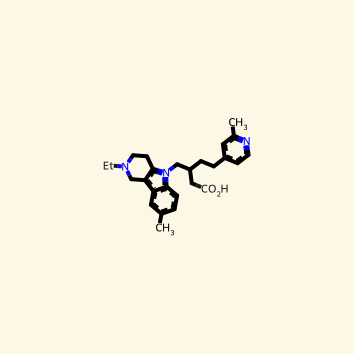 CCN1CCc2c(c3cc(C)ccc3n2CC(CCc2ccnc(C)c2)CC(=O)O)C1